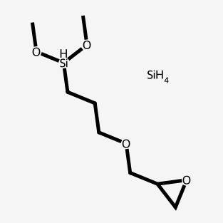 CO[SiH](CCCOCC1CO1)OC.[SiH4]